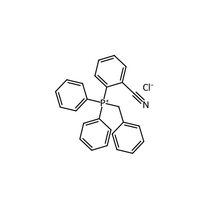 N#Cc1ccccc1[P+](Cc1ccccc1)(c1ccccc1)c1ccccc1.[Cl-]